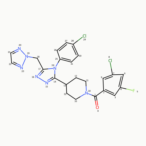 O=C(c1cc(F)cc(Cl)c1)N1CCC(c2nnc(Cn3nccn3)n2-c2ccc(Cl)cc2)CC1